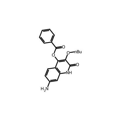 CCCCOc1c(OC(=O)c2ccccc2)c2ccc(N)cc2[nH]c1=O